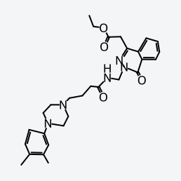 CCOC(=O)Cc1nn(CNC(=O)CCCN2CCN(c3ccc(C)c(C)c3)CC2)c(=O)c2ccccc12